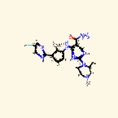 COc1c(Nc2nc(N3CCN(C(C)=O)CC3C)ncc2C(N)=O)cccc1-c1ncc(F)cn1